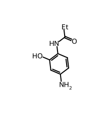 CCC(=O)Nc1ccc(N)cc1O